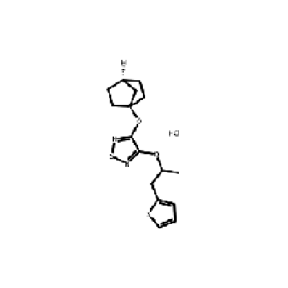 CC(Cc1cccs1)Oc1nsnc1O[C@]12CC[C@@H](CC1)C2.Cl